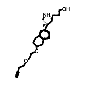 C#CCCOCCO[C@H]1CCc2cc([C@H](CN)CCCCO)ccc2C1